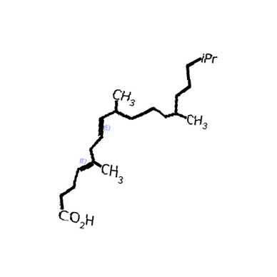 C/C(=C\CCC(=O)O)C/C=C/C(C)CCCC(C)CCCC(C)C